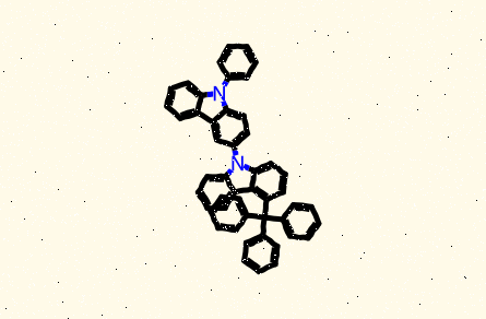 c1ccc(-n2c3ccccc3c3cc(-n4c5ccccc5c5c(C(c6ccccc6)(c6ccccc6)c6ccccc6)cccc54)ccc32)cc1